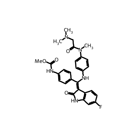 COC(=O)Nc1ccc(C(Nc2ccc(N(C)C(=O)CN(C)C)cc2)=C2C(=O)Nc3cc(F)ccc32)cc1